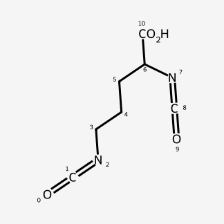 O=C=NCCCC(N=C=O)C(=O)O